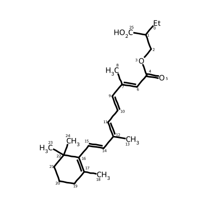 CCC(COC(=O)C=C(C)C=CC=C(C)C=CC1=C(C)CCCC1(C)C)C(=O)O